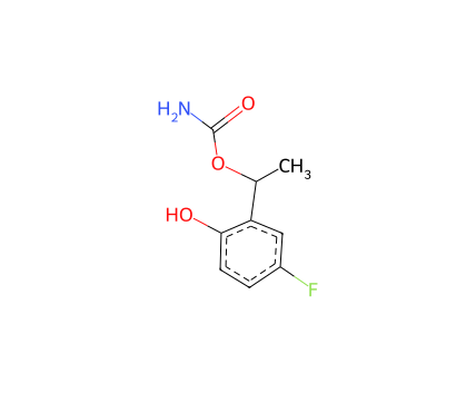 CC(OC(N)=O)c1cc(F)ccc1O